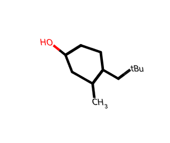 CC1CC(O)CCC1CC(C)(C)C